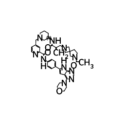 C=C(CN1CC2(CCN(C(C)=O)C2)C1)C(=O)N[C@@H]1CCCN(Cc2ccnc(C(=O)Nc3ccc(-c4cc5c(N6CCOCC6)ncnc5[nH]4)cc3)c2)C1